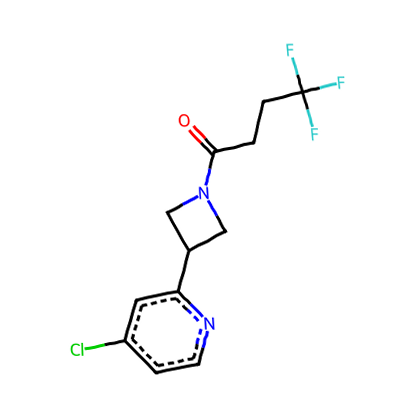 O=C(CCC(F)(F)F)N1CC(c2cc(Cl)ccn2)C1